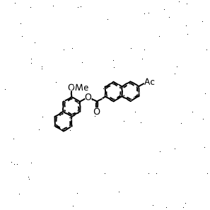 COc1cc2ccccc2cc1OC(=O)c1ccc2cc(C(C)=O)ccc2c1